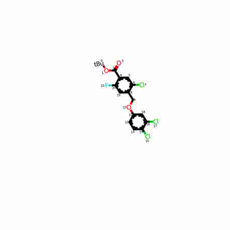 CC(C)(C)OC(=O)c1cc(Cl)c(COc2ccc(Cl)c(Cl)c2)cc1F